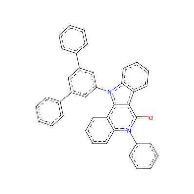 O=c1c2c3ccccc3n(-c3cc(-c4ccccc4)cc(-c4ccccc4)c3)c2c2ccccc2n1-c1ccccc1